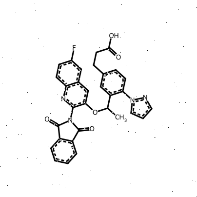 CC(Oc1cc2cc(F)ccc2nc1N1C(=O)c2ccccc2C1=O)c1cc(CCC(=O)O)ccc1-n1cccn1